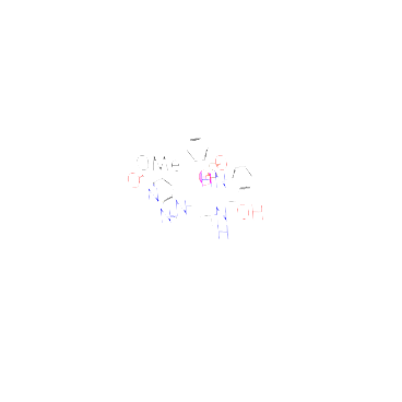 COC(=O)c1ccc2c(ncn2CCC(C)(C)NCC(O)c2ccccc2NS(=O)(=O)c2ccccc2)n1